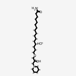 Cl.NC(=O)CCCCCCCCCCCCCCCOCC(O)CN1CCCCC1